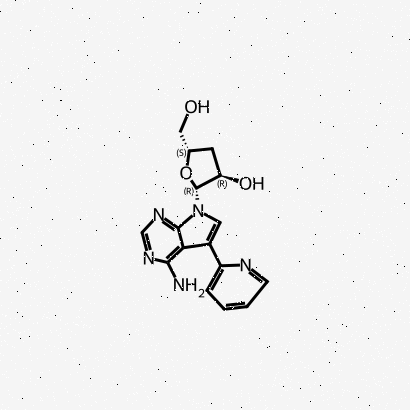 Nc1ncnc2c1c(-c1ccccn1)cn2[C@@H]1O[C@H](CO)C[C@H]1O